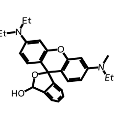 CCN(C)c1ccc2c(c1)Oc1cc(N(CC)CC)ccc1C21OC(O)c2ccccc21